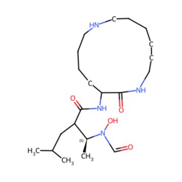 CC(C)CC(C(=O)NC1CCCCNCCCCCCNC1=O)[C@H](C)N(O)C=O